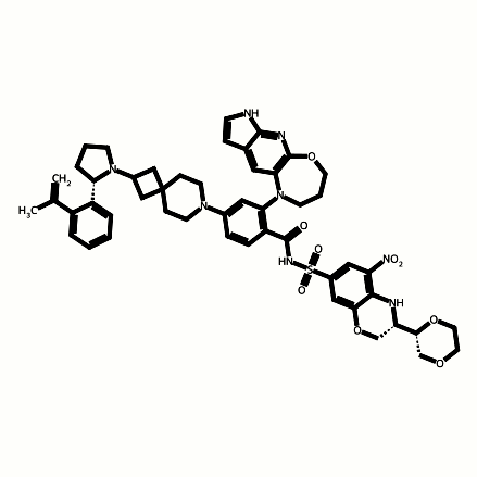 C=C(C)c1ccccc1[C@@H]1CCCN1C1CC2(CCN(c3ccc(C(=O)NS(=O)(=O)c4cc5c(c([N+](=O)[O-])c4)N[C@H]([C@H]4COCCO4)CO5)c(N4CCCOc5nc6[nH]ccc6cc54)c3)CC2)C1